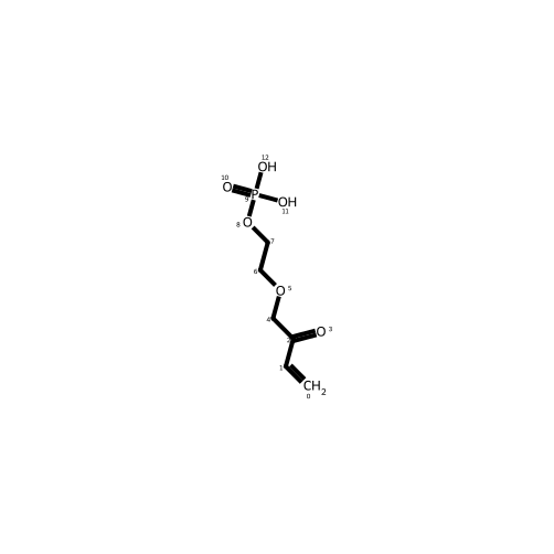 C=CC(=O)COCCOP(=O)(O)O